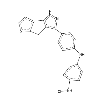 ClNc1ccc(Nc2ccc(-c3n[nH]c4c3Cc3sccc3-4)cc2)cc1